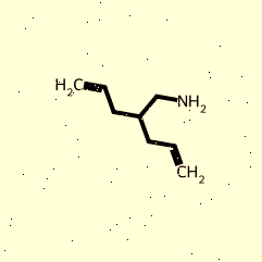 C=CCC(CN)CC=C